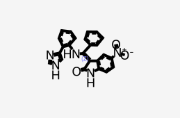 O=C1Nc2ccc([N+](=O)[O-])cc2/C1=C(/Nc1ccccc1-c1c[nH]cn1)c1ccccc1